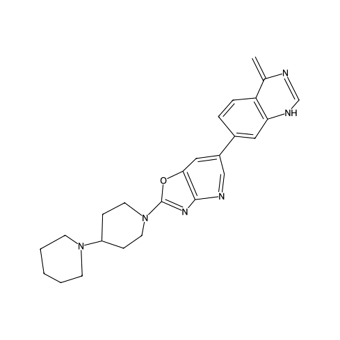 C=C1N=CNc2cc(-c3cnc4nc(N5CCC(N6CCCCC6)CC5)oc4c3)ccc21